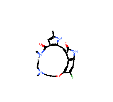 Cc1cc2c([nH]1)/C=C1\C(=O)Nc3cc(Cl)c(cc31)OCCN(C)CCN(C)C2=O